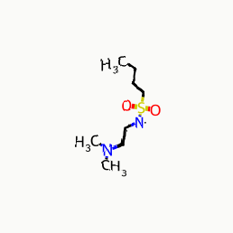 CCCCS(=O)(=O)[N]CCN(C)C